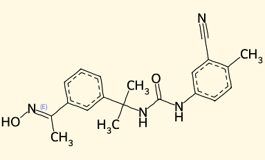 C/C(=N\O)c1cccc(C(C)(C)NC(=O)Nc2ccc(C)c(C#N)c2)c1